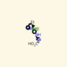 CCC(=Cc1ccccc1)[C@@H]1C[C@H]1NC1CCC(NCc2cnn(CC(=O)O)c2)CC1.Cl.Cl